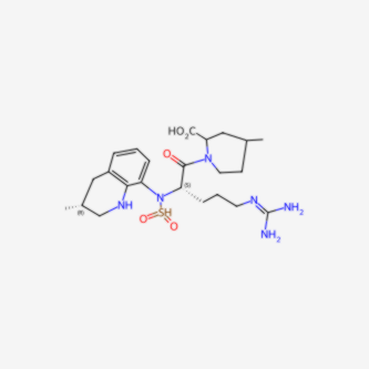 CC1CCN(C(=O)[C@H](CCCN=C(N)N)N(c2cccc3c2NC[C@H](C)C3)[SH](=O)=O)C(C(=O)O)C1